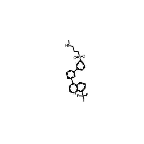 CNCCCS(=O)(=O)c1cccc(-c2cccc(-c3ccnc4c(C(F)(F)F)cccc34)c2)c1